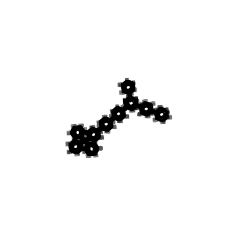 c1ccc(-c2nc(-c3ccc(-c4ccc(-c5ccc6c(c5)-c5ccccc5C65c6ccccc6-c6ccccc65)cc4)cc3)cc(-c3ccc(-c4cccnc4)cc3)n2)cc1